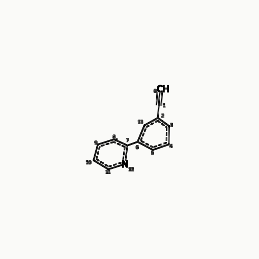 C#Cc1cccc(-c2[c]cccn2)c1